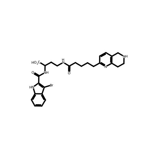 O=C(CCCCc1ccc2c(n1)CCNC2)NCCC(NC(=O)c1[nH]c2ccccc2c1Br)C(=O)O